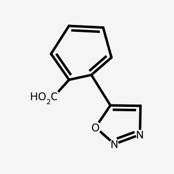 O=C(O)c1ccccc1-c1cnno1